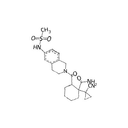 CS(=O)(=O)Nc1ccc2c(c1)CCN(C(=O)C1CCCCC1(C(N)=O)C1(C#N)CC1)C2